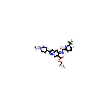 CCOC(=O)c1cn2nc(C3CCN(C)CC3)cc2cc1NC(=O)c1cccc(C(F)(F)F)n1